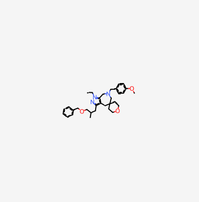 CCn1nc(CC(C)COCc2ccccc2)c2c1CN(Cc1ccc(OC)cc1)CC1(CCOCC1)C2